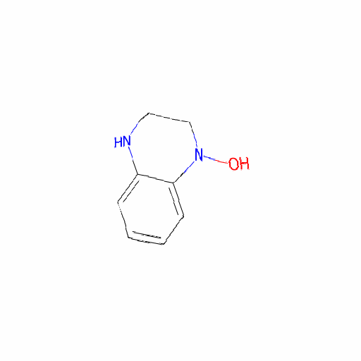 ON1CCNc2ccccc21